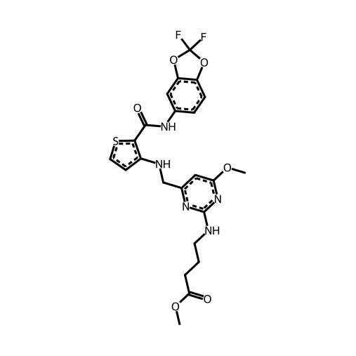 COC(=O)CCCNc1nc(CNc2ccsc2C(=O)Nc2ccc3c(c2)OC(F)(F)O3)cc(OC)n1